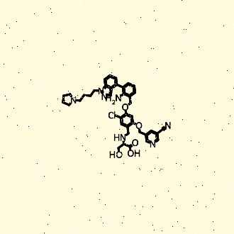 N#Cc1cncc(COc2cc(OCc3cccc(-c4cccc5c4cnn5CCCCN4CCCC4)c3N)c(Cl)cc2CNC(CO)C(=O)O)c1